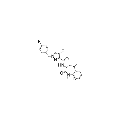 CC1C[C@H](NC(=O)c2nn(Cc3ccc(F)cc3)cc2F)C(=O)N(C)c2ncccc21